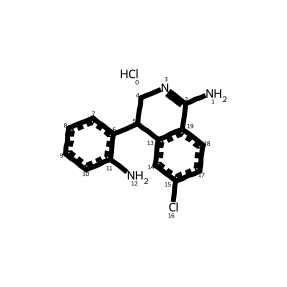 Cl.NC1=NCC(c2ccccc2N)c2cc(Cl)ccc21